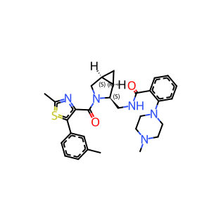 Cc1cccc(-c2sc(C)nc2C(=O)N2C[C@H]3C[C@H]3[C@H]2CNC(=O)c2ccccc2N2CCN(C)CC2)c1